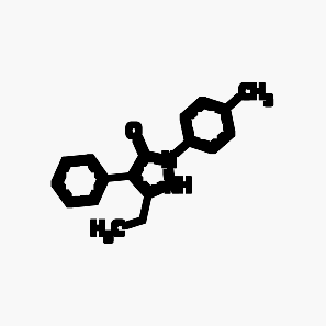 CCc1[nH]n(-c2ccc(C)cc2)c(=O)c1-c1ccccc1